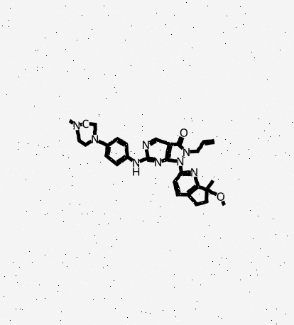 C=CCn1c(=O)c2cnc(Nc3ccc(N4CCN(C)CC4)cc3)nc2n1-c1ccc2c(n1)C(C)(OC)CC2